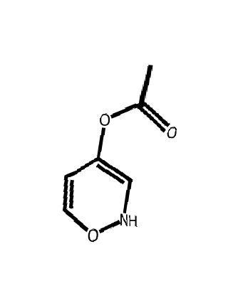 CC(=O)OC1=CNOC=C1